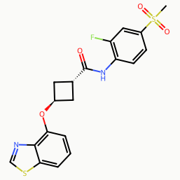 CS(=O)(=O)c1ccc(NC(=O)[C@H]2C[C@H](Oc3cccc4scnc34)C2)c(F)c1